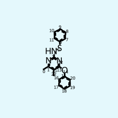 Cc1nc(NSc2ccccc2)nc(Oc2ccccc2)c1C